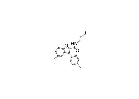 CCCCNC(=O)c1oc2ccc(C)cc2c1-c1ccc(C)cc1